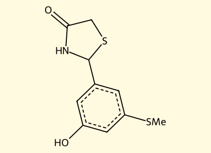 CSc1cc(O)cc(C2NC(=O)CS2)c1